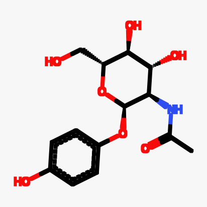 CC(=O)N[C@H]1[C@@H](Oc2ccc(O)cc2)O[C@H](CO)[C@@H](O)[C@@H]1O